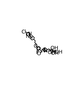 O=CC(c1ccc(OCCCC2CCN(c3ncc(Cl)cn3)CC2)cc1F)N1CC2CCC1CN2C[C@H](O)[C@H](O)[C@H](O)CO